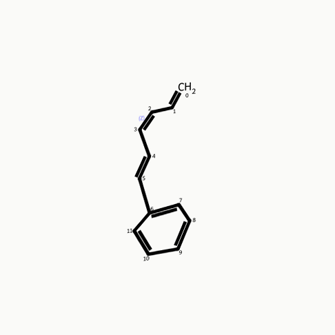 C=C/C=C\C=Cc1ccccc1